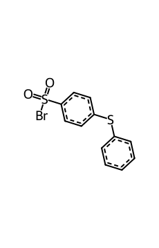 O=S(=O)(Br)c1ccc(Sc2ccccc2)cc1